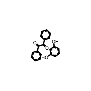 O=C(C(=O)c1ccccc1)c1ccccc1.Oc1cccc(O)c1